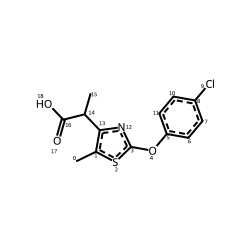 Cc1sc(Oc2ccc(Cl)cc2)nc1C(C)C(=O)O